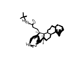 CC(C)(C)NC(=O)CC[C@@H]1c2c[nH]nc2[C@@]2(C)CCC3c4ccccc4CCC3C12